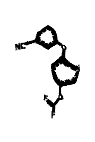 N#Cc1cccc(Oc2ccc(OC(F)F)cn2)c1